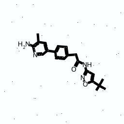 Cc1cc(-c2ccc(CC(=O)Nc3cc(C(C)(C)C)on3)cc2)cnc1N